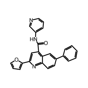 O=C(Nc1cccnc1)c1cc(-c2ccco2)nc2ccc(-c3ccccc3)cc12